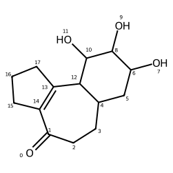 O=C1CCC2CC(O)C(O)C(O)C2C2=C1CCC2